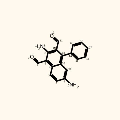 Nc1ccc2c(C=O)c(N)c(C=O)c(-c3ccccc3)c2c1